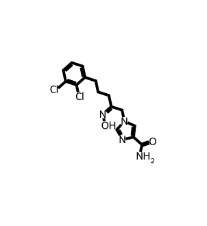 NC(=O)c1cn(CC(CCCc2cccc(Cl)c2Cl)=NO)cn1